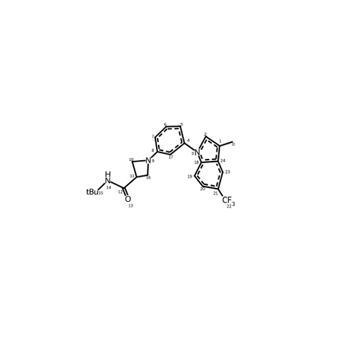 Cc1cn(-c2cccc(N3CC(C(=O)NC(C)(C)C)C3)c2)c2ccc(C(F)(F)F)cc12